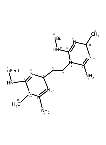 CCCCCNC1=NC(CCN2C(N)=NC(C)N=C2NCCCC)N=C(N)N1C